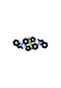 Cc1cc2ccccc2n1-c1ccc(F)[c]([Ti]([C]2=CC=CC2)([C]2=CC=CC2)[c]2c(F)ccc(-n3c(C)cc4ccccc43)c2F)c1F